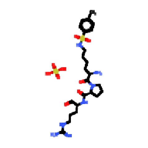 Cc1ccc(S(=O)(=O)NCCCC[C@@H](N)C(=O)N2CCC[C@H]2C(=O)N[C@H](C=O)CCCNC(=N)N)cc1.O=S(=O)(O)O